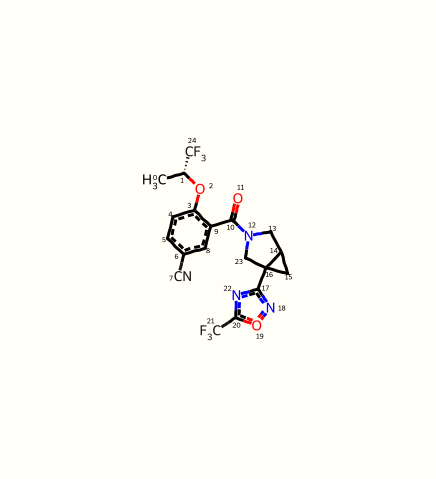 C[C@@H](Oc1ccc(C#N)cc1C(=O)N1CC2CC2(c2noc(C(F)(F)F)n2)C1)C(F)(F)F